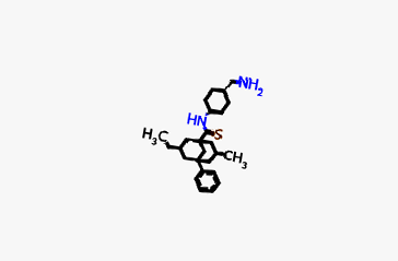 CCC1CC2(C(=S)N[C@H]3CC[C@H](CN)CC3)CC(C)CC(c3ccccc3)(C1)C2